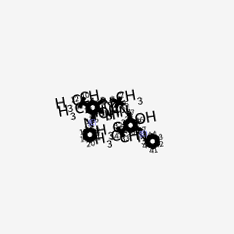 CC(C)(CNCc1cc(C(C)(C)C)cc(/C=N/c2ccccc2)c1O)CNCc1cc(C(C)(C)C)cc(/C=N/c2ccccc2)c1O